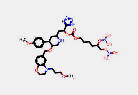 COCCCN1CCOc2ccc(COC3CNC(CC(OC(=O)OCCCCC(CON(O)O)ON(O)O)c4nnn[nH]4)CC3c3ccc(OC)cc3)cc21